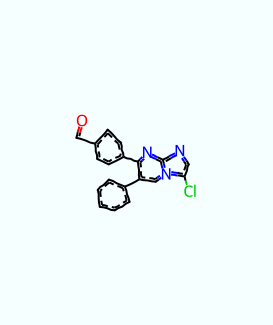 O=Cc1ccc(-c2nc3ncc(Cl)n3cc2-c2ccccc2)cc1